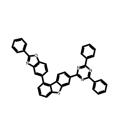 c1ccc(-c2nc(-c3ccccc3)nc(-c3ccc4c(c3)sc3cccc(-c5ccc6oc(-c7ccccc7)nc6c5)c34)n2)cc1